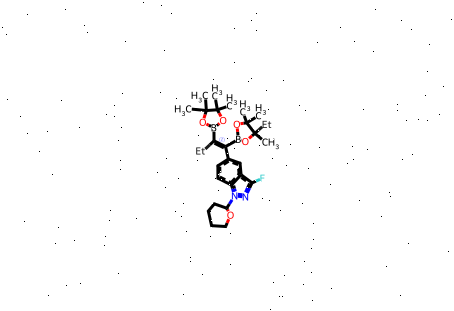 CC/C(B1OC(C)(C)C(C)(C)O1)=C(/B1OC(C)(C)C(C)(CC)O1)c1ccc2c(c1)c(F)nn2C1CCCCO1